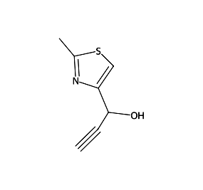 C#CC(O)c1csc(C)n1